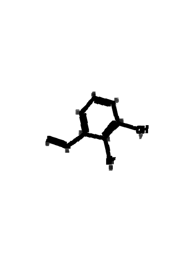 C=[C]c1cccc(O)c1Br